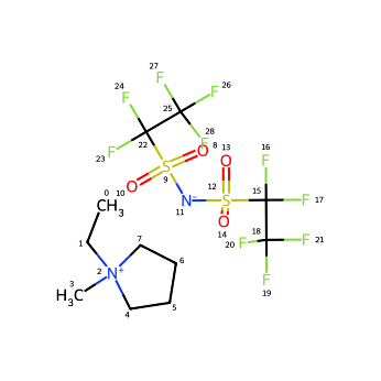 CC[N+]1(C)CCCC1.O=S(=O)([N-]S(=O)(=O)C(F)(F)C(F)(F)F)C(F)(F)C(F)(F)F